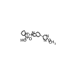 COc1ncc(-c2ccc3nn(C(Cc4ccccc4)C(=O)NO)cc3c2)cn1